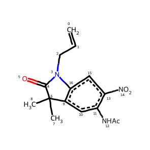 C=CCN1C(=O)C(C)(C)c2cc(NC(C)=O)c([N+](=O)[O-])cc21